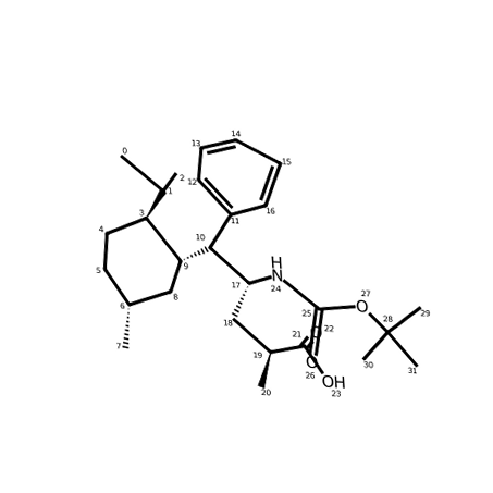 CC(C)[C@@H]1CC[C@@H](C)C[C@H]1C(c1ccccc1)[C@@H](C[C@H](C)C(=O)O)NC(=O)OC(C)(C)C